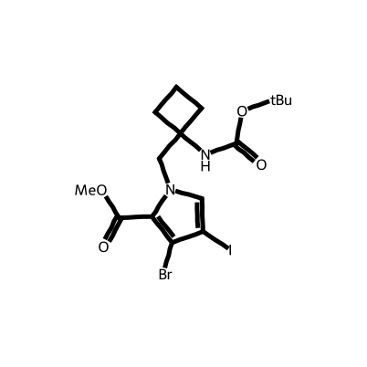 COC(=O)c1c(Br)c(I)cn1CC1(NC(=O)OC(C)(C)C)CCC1